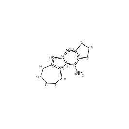 Nc1c2c(nc3sc4c(c13)CCCCC4)CCC2